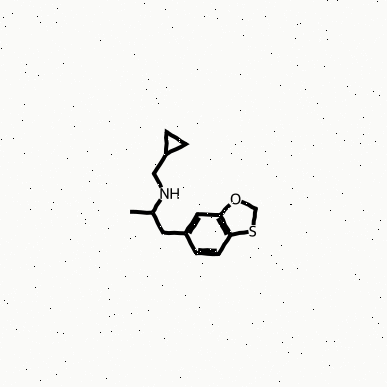 CC(Cc1ccc2c(c1)OCS2)NCC1CC1